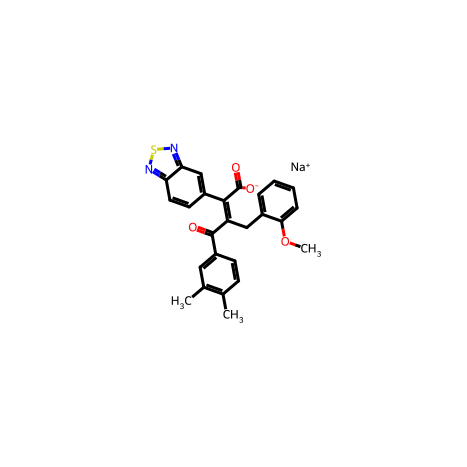 COc1ccccc1CC(C(=O)c1ccc(C)c(C)c1)=C(C(=O)[O-])c1ccc2nsnc2c1.[Na+]